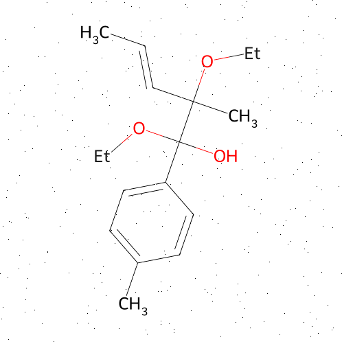 CC=CC(C)(OCC)C(O)(OCC)c1ccc(C)cc1